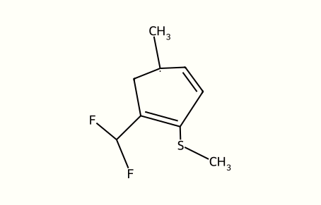 CSC1=C(C(F)F)C[C](C)C=C1